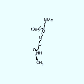 CC#CCNC(=O)CCOCCOCCO[C@H](CCCNC)SSC(C)(C)C